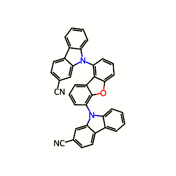 N#Cc1ccc2c3ccccc3n(-c3cccc4c3oc3cccc(-n5c6ccccc6c6ccc(C#N)cc65)c34)c2c1